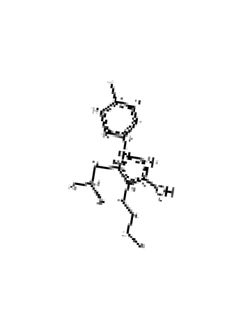 CCCCc1c(O)nn(-c2ccc(C)cc2)c1CC(C)C